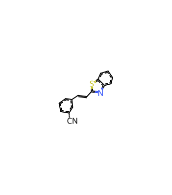 N#Cc1cccc(/C=C/c2nc3ccccc3s2)c1